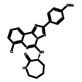 COc1ccc(-c2nc3c4cccc(Cl)c4nc(N[C@@H]4CCCCNC4=O)n3n2)cc1